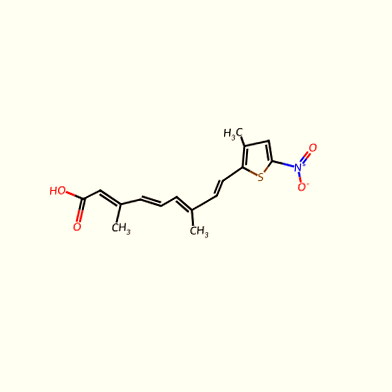 CC(C=Cc1sc([N+](=O)[O-])cc1C)=CC=C/C(C)=C/C(=O)O